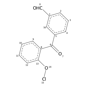 O=Cc1cccc(C(=O)c2ccccc2OCl)c1